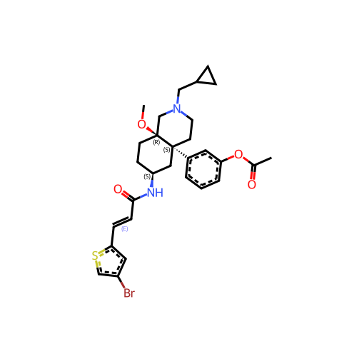 CO[C@]12CC[C@H](NC(=O)/C=C/c3cc(Br)cs3)C[C@]1(c1cccc(OC(C)=O)c1)CCN(CC1CC1)C2